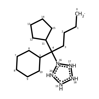 [CH2]CCCC(C1CCCCC1)(C1CCCC1)n1[nH][nH][nH][nH]1